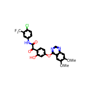 COc1cc2ncnc(Oc3ccc(C(=O)C(=O)Nc4ccc(Cl)c(C(F)(F)F)c4)c(O)c3)c2cc1OC